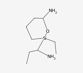 CCC(N)[Si]1(CC)CCCC(N)O1